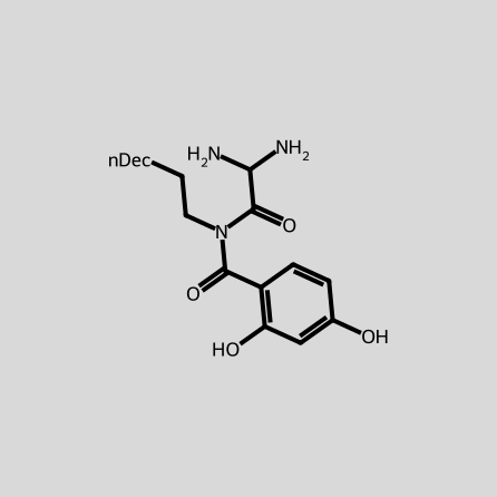 CCCCCCCCCCCCN(C(=O)c1ccc(O)cc1O)C(=O)C(N)N